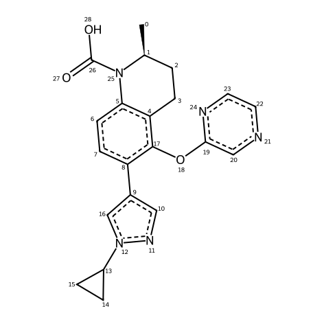 C[C@H]1CCc2c(ccc(-c3cnn(C4CC4)c3)c2Oc2cnccn2)N1C(=O)O